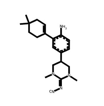 [C-]#[N+]N=C1N(C)CC(c2ccc(N)c(C3=CCC(C)(C)CC3)c2)CN1C